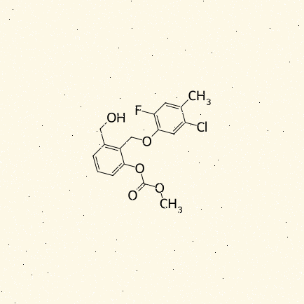 COC(=O)Oc1cccc(CO)c1COc1cc(Cl)c(C)cc1F